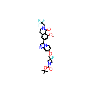 COc1cc(-c2cnc3cc(OCC4(F)CN(C(=O)OC(C)(C)C)C4)ccn23)cc2c1C(=O)N(CC(F)(F)F)CC2